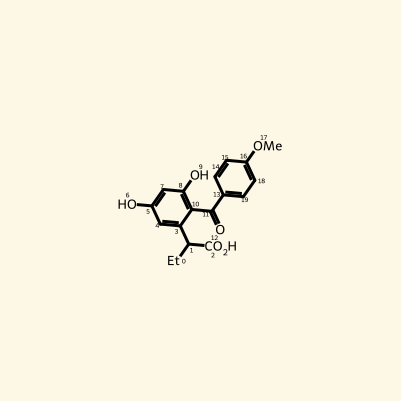 CCC(C(=O)O)c1cc(O)cc(O)c1C(=O)c1ccc(OC)cc1